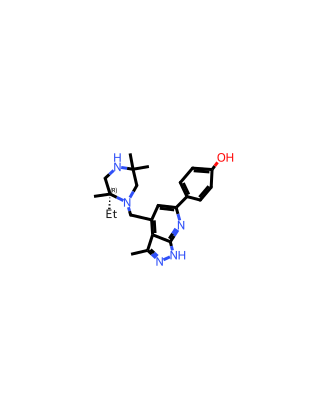 CC[C@]1(C)CNC(C)(C)CN1Cc1cc(-c2ccc(O)cc2)nc2[nH]nc(C)c12